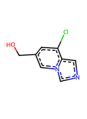 OCc1cc(Cl)c2cncn2c1